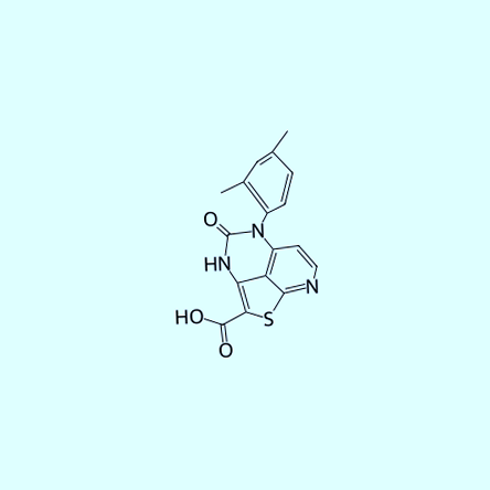 Cc1ccc(N2C(=O)Nc3c(C(=O)O)sc4nccc2c34)c(C)c1